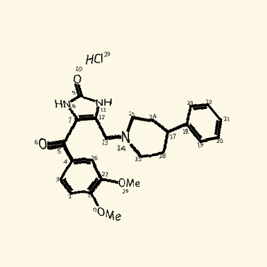 COc1ccc(C(=O)c2[nH]c(=O)[nH]c2CN2CCC(c3ccccc3)CC2)cc1OC.Cl